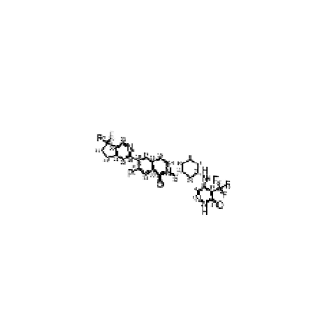 O=c1[nH]ncc(N[C@H]2CCC[C@@H](Cn3ccc4cc(-c5cc6c(cn5)C(F)(F)CC6)c(F)cc4c3=O)C2)c1C(F)(F)F